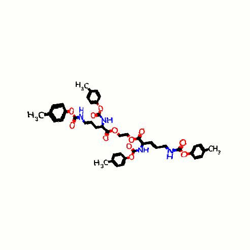 Cc1ccc(OC(=O)NCCCC(NC(=O)Oc2ccc(C)cc2)C(=O)OCCOC(=O)C(CCCNC(=O)Oc2ccc(C)cc2)NC(=O)Oc2ccc(C)cc2)cc1